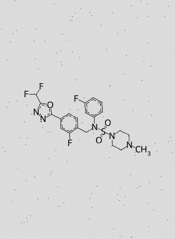 CN1CCN(S(=O)(=O)N(Cc2ccc(-c3nnc(C(F)F)o3)cc2F)c2cccc(F)c2)CC1